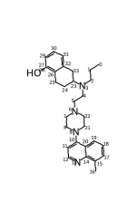 CCCN(CCN1CCN(c2ccnc3c(C)cccc23)CC1)C1CCc2c(O)cccc2C1